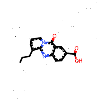 CCCc1cccn2c(=O)c3cc(C(=O)O)ccc3nc12